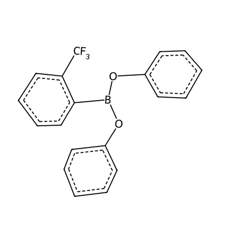 FC(F)(F)c1ccccc1B(Oc1ccccc1)Oc1ccccc1